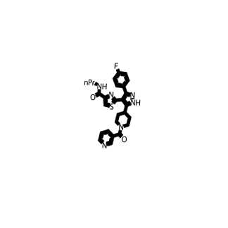 CCCNC(=O)c1csc(-c2c(-c3ccc(F)cc3)n[nH]c2C2CCN(C(=O)c3cccnc3)CC2)n1